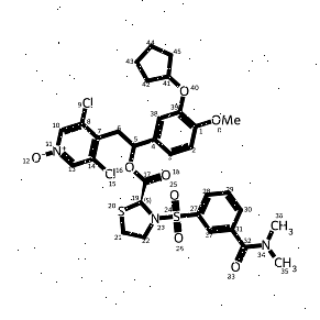 COc1ccc(C(Cc2c(Cl)c[n+]([O-])cc2Cl)OC(=O)[C@@H]2SCCN2S(=O)(=O)c2cccc(C(=O)N(C)C)c2)cc1OC1CCCC1